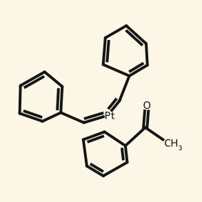 CC(=O)c1ccccc1.[CH](=[Pt]=[CH]c1ccccc1)c1ccccc1